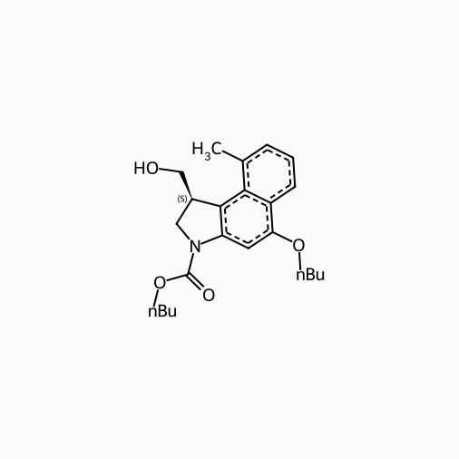 CCCCOC(=O)N1C[C@@H](CO)c2c1cc(OCCCC)c1cccc(C)c21